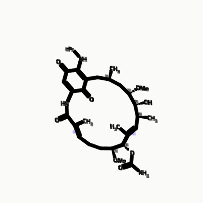 CCCNC1=C2C[C@@H](C)C[C@H](OC)[C@H](O)[C@@H](C)/C=C(\C)[C@H](OC(N)=O)[C@@H](OC)CC/C=C(\C)C(=O)NC(=CC1=O)C2=O